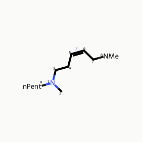 CCCCCN(C)CC/C=C\CNC